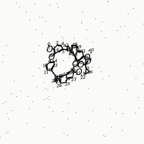 COc1ccc2cc1Oc1ccc(cc1)C[C@H]1c3cc(c(OC)cc3CCN1C)Oc1c(OC(=O)C3CC3)c(OC)cc3c1[C@H](C2)N(C)CC3